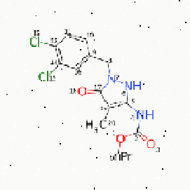 CCCOC(=O)Nc1[nH]n(Cc2ccc(Cl)c(Cl)c2)c(=O)c1C